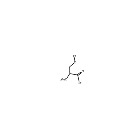 CCOCC(OC)C(=O)CC